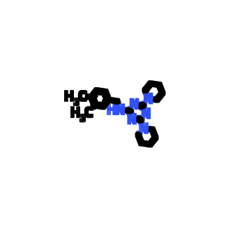 Cc1ccc(CNc2nc(N3CCCCC3)nc(N3CCCCC3)n2)cc1C